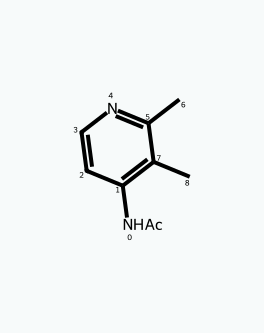 CC(=O)Nc1ccnc(C)c1C